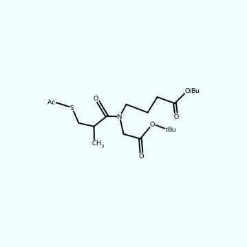 CC(=O)SCC(C)C(=O)N(CCCC(=O)OCC(C)C)CC(=O)OC(C)(C)C